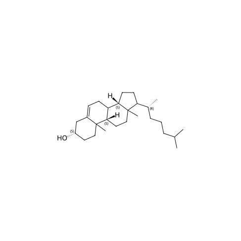 CC(C)CCC[C@@H](C)C1CC[C@H]2C3CC=C4C[C@@H](O)CCC4(C)[C@H]3CCC12C